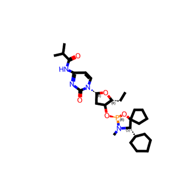 CC[C@H]1O[C@@H](n2ccc(NC(=O)C(C)C)nc2=O)CC1O[P@@]1OC2(CCCC2)[C@H](C2CCCCC2)N1C